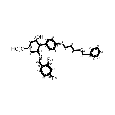 O=C(O)N1CC(O)C(c2ccc(OCCCOCc3ccccc3)cc2)C(OCc2ccc(F)cc2F)C1